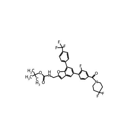 CC(C)(C)OC(=O)NCc1cc2cc(-c3ccc(C(=O)N4CCC(F)(F)CC4)cc3F)cc(-c3ccc(C(F)(F)F)cc3)c2o1